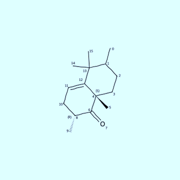 CC1CC[C@]2(C)C(=O)[C@H](C)CC=C2C1(C)C